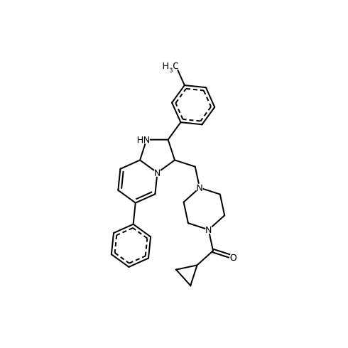 Cc1cccc(C2NC3C=CC(c4ccccc4)=CN3C2CN2CCN(C(=O)C3CC3)CC2)c1